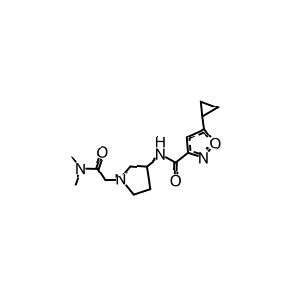 CN(C)C(=O)CN1CCC(NC(=O)c2cc(C3CC3)on2)C1